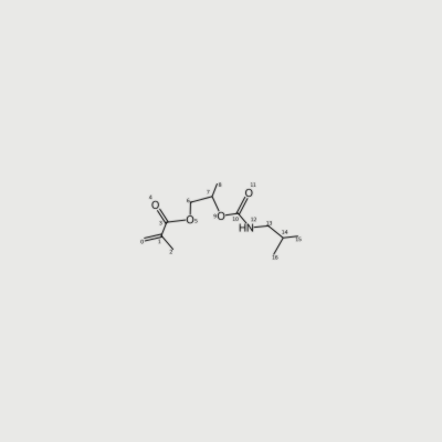 C=C(C)C(=O)OCC(C)OC(=O)NCC(C)C